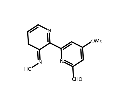 COc1cc(C=O)nc(C2=NC=CCC2=NO)c1